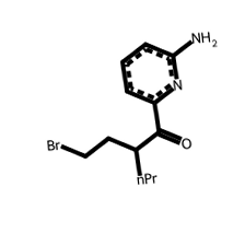 CCCC(CCBr)C(=O)c1cccc(N)n1